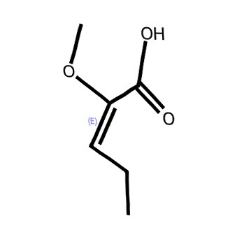 CC/C=C(/OC)C(=O)O